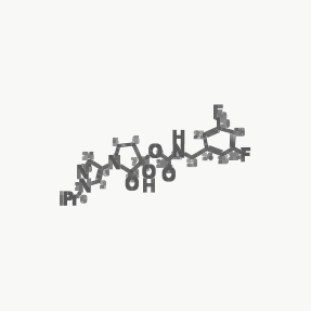 CC(C)n1cc(N2CC[C@](O)(OC(=O)NCc3cc(F)cc(F)c3)C2=O)cn1